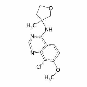 COc1ccc2c(NC3(C)CCOC3)ncnc2c1Cl